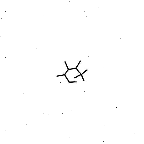 C[CH]C(C)C(C)C(C)C(C)(C)C